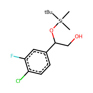 CC(C)(C)[Si](C)(C)OC(CO)c1ccc(Cl)c(F)c1